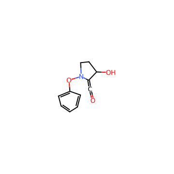 O=C=C1C(O)CCN1Oc1ccccc1